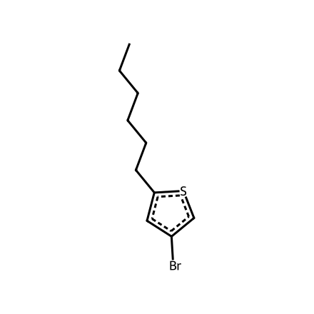 CCCCCCc1cc(Br)cs1